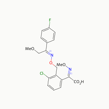 COC/C(=N\OCc1c(Cl)cccc1/C(=N\OC)C(=O)O)c1ccc(F)cc1